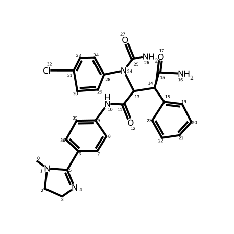 CN1CCN=C1c1ccc(NC(=O)C(C(C(N)=O)c2ccccc2)N(C(N)=O)c2ccc(Cl)cc2)cc1